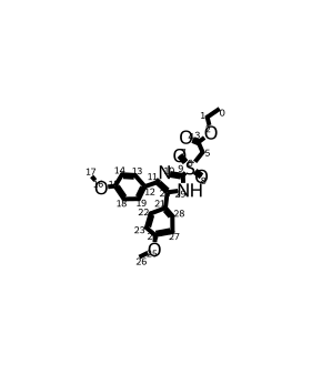 CCOC(=O)CS(=O)(=O)c1nc(-c2ccc(OC)cc2)c(-c2ccc(OC)cc2)[nH]1